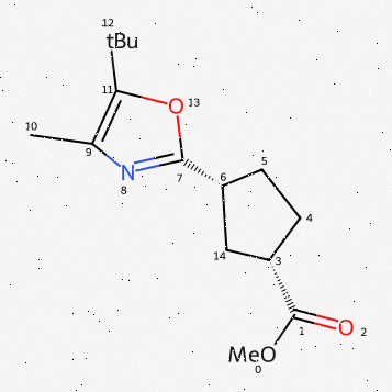 COC(=O)[C@H]1CC[C@@H](c2nc(C)c(C(C)(C)C)o2)C1